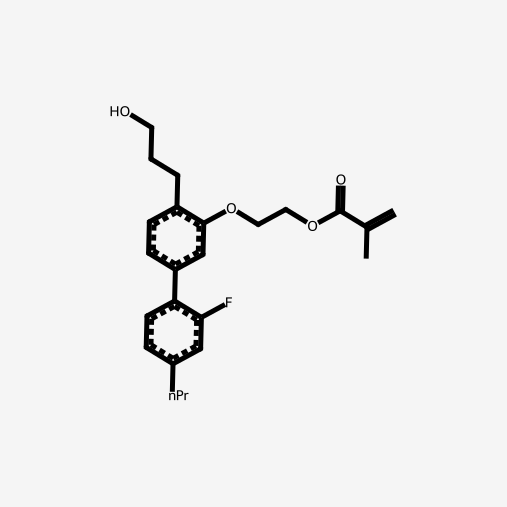 C=C(C)C(=O)OCCOc1cc(-c2ccc(CCC)cc2F)ccc1CCCO